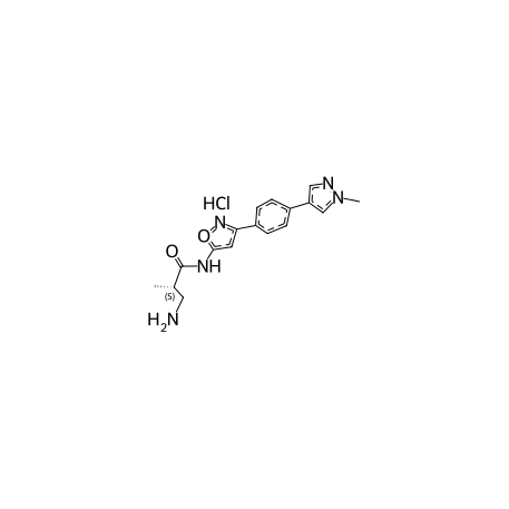 C[C@@H](CN)C(=O)Nc1cc(-c2ccc(-c3cnn(C)c3)cc2)no1.Cl